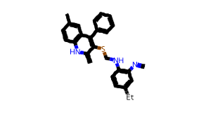 C=Nc1cc(CC)ccc1NCSC1=C(c2ccccc2)c2cc(C)ccc2NC1=C